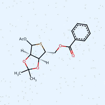 CC(=O)OC1S[C@H](COC(=O)c2ccccc2)[C@H]2OC(C)(C)O[C@@H]12